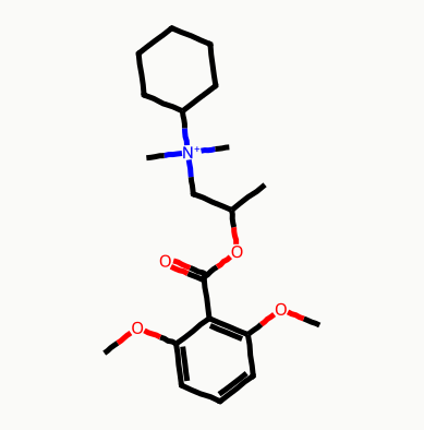 COc1cccc(OC)c1C(=O)OC(C)C[N+](C)(C)C1CCCCC1